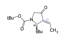 C/C=C1/C(=O)CN(C(=O)OC(C)(C)C)[C@@H]1C(C)(C)C